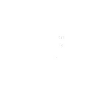 NNS(=O)O